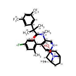 Cc1cc(F)ccc1-c1cc(N2C3CC[C@H]2C[C@H](O)C3)ncc1N(C)C(=O)C(C)(C)c1cc(C(F)(F)F)cc(C(F)(F)F)c1